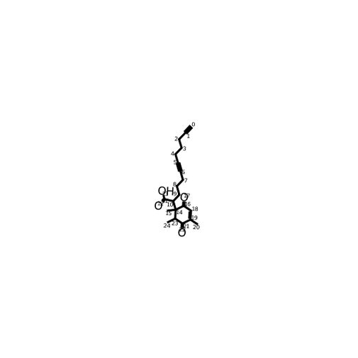 C#CCCCC#CCCCC(C(=O)O)C1(C)C(=O)C=C(C)C(=O)C1C